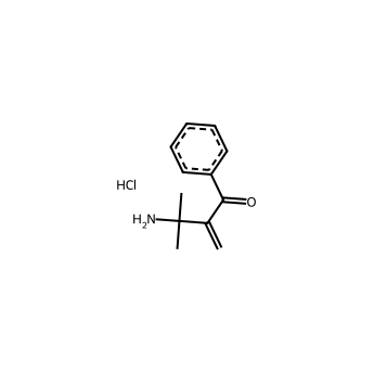 C=C(C(=O)c1ccccc1)C(C)(C)N.Cl